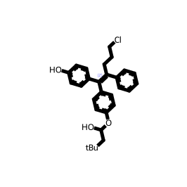 CC(C)(C)CC(O)Oc1ccc(/C(=C(/CCCCl)c2ccccc2)c2ccc(O)cc2)cc1